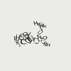 CC1(C)OB(c2ccc3c(c2)N([C@H]2C[C@@H](N4C[C@H]5CC[C@@H]4C5)C2)C(=O)C32CCNCC2)OC1(C)C